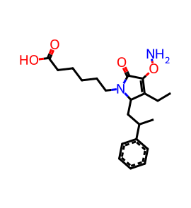 CCC1=C(ON)C(=O)N(CCCCCC(=O)O)C1CC(C)c1ccccc1